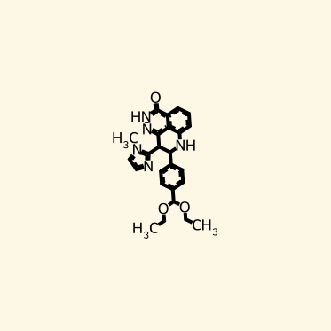 CCOC(OCC)c1ccc(C2Nc3cccc4c(=O)[nH]nc(c34)C2c2nccn2C)cc1